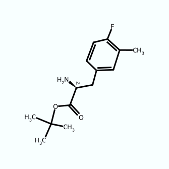 Cc1cc(C[C@H](N)C(=O)OC(C)(C)C)ccc1F